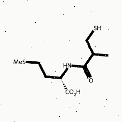 CSCC[C@H](NC(=O)C(C)CS)C(=O)O